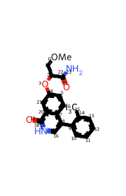 COCC(Oc1ccc2c(-c3ccccc3C)c[nH]c(=O)c2c1)C(N)=O